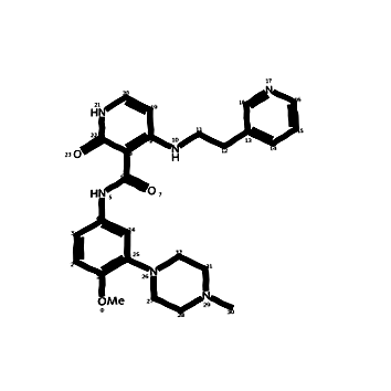 COc1ccc(NC(=O)c2c(NCCc3cccnc3)cc[nH]c2=O)cc1N1CCN(C)CC1